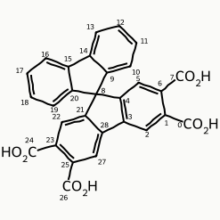 O=C(O)c1cc2c(cc1C(=O)O)C1(c3ccccc3-c3ccccc31)c1cc(C(=O)O)c(C(=O)O)cc1-2